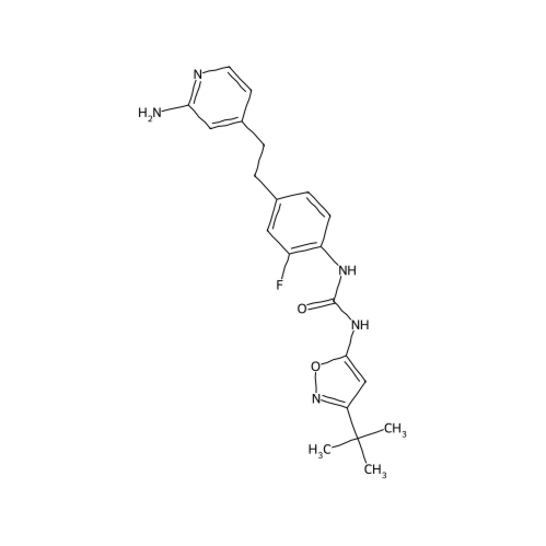 CC(C)(C)c1cc(NC(=O)Nc2ccc(CCc3ccnc(N)c3)cc2F)on1